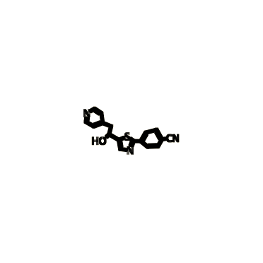 N#Cc1ccc(-c2ncc(C(O)Cc3ccncc3)s2)cc1